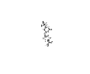 O=C(O)N1CCN(Cc2cccc(C(F)(F)F)c2)CC1